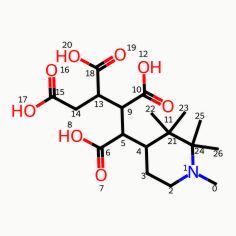 CN1CCC(C(C(=O)O)C(C(=O)O)C(CC(=O)O)C(=O)O)C(C)(C)C1(C)C